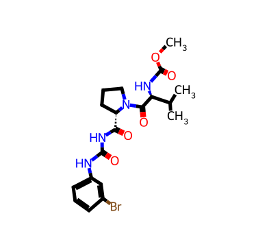 COC(=O)N[C@H](C(=O)N1CCC[C@H]1C(=O)NC(=O)Nc1cccc(Br)c1)C(C)C